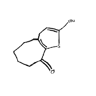 CC(C)(C)c1cc2c(s1)C(=O)CCCC2